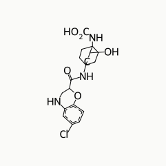 O=C(O)NC12CCC(NC(=O)C3CNc4cc(Cl)ccc4O3)(CC1)CC2O